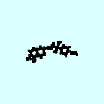 Cc1ccc(S(=O)(=O)N/N=C/c2cc3ccc(Br)c(F)c3cn2)cc1